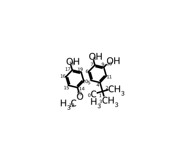 CC(C)(C)c1ccc(O)c(O)c1.COc1ccc(O)cc1